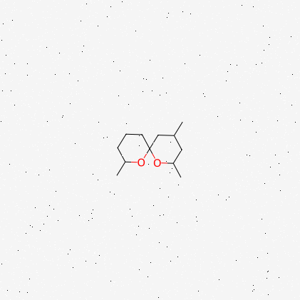 CC1CC(C)OC2(CCCC(C)O2)C1